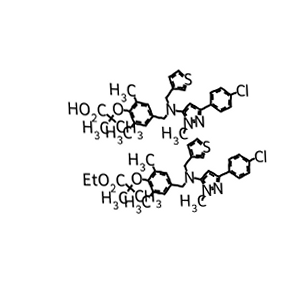 CCOC(=O)C(C)(C)Oc1c(C)cc(CN(Cc2ccsc2)c2cc(-c3ccc(Cl)cc3)nn2C)cc1C.Cc1cc(CN(Cc2ccsc2)c2cc(-c3ccc(Cl)cc3)nn2C)cc(C)c1OC(C)(C)C(=O)O